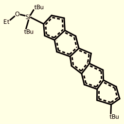 CCO[Si](c1ccc2cc3cc4cc5ccc(C(C)(C)C)cc5cc4cc3cc2c1)(C(C)(C)C)C(C)(C)C